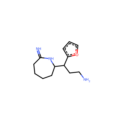 N=C1CCCCC(C(CCN)c2ccco2)N1